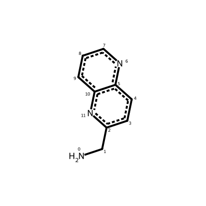 NCc1ccc2ncccc2n1